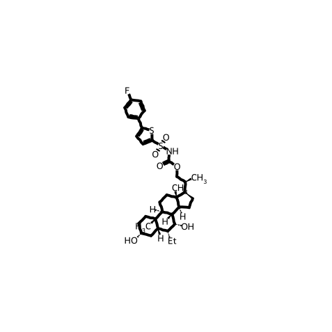 CC[C@H]1[C@@H](O)[C@@H]2[C@H](CC[C@]3(C)[C@@H]([C@H](C)COC(=O)NS(=O)(=O)c4ccc(-c5ccc(F)cc5)s4)CC[C@@H]23)[C@@]2(C)CC[C@@H](O)C[C@@H]12